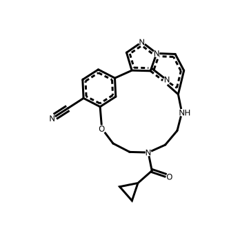 N#Cc1ccc2cc1OCCN(C(=O)C1CC1)CCNc1ccn3ncc-2c3n1